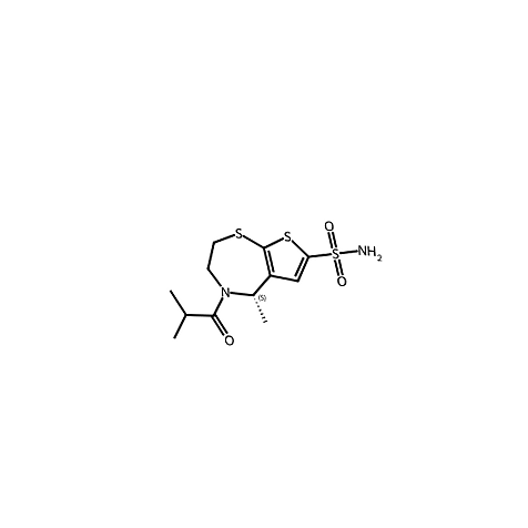 CC(C)C(=O)N1CCSc2sc(S(N)(=O)=O)cc2[C@@H]1C